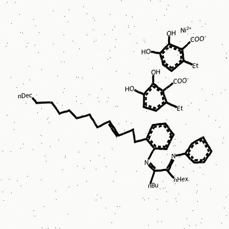 CCCCCCCCCCCCCCCCCC=CCCc1ccccc1N=C(CCCC)C(CCCCCC)=Nc1ccccc1.CCc1ccc(O)c(O)c1C(=O)[O-].CCc1ccc(O)c(O)c1C(=O)[O-].[Ni+2]